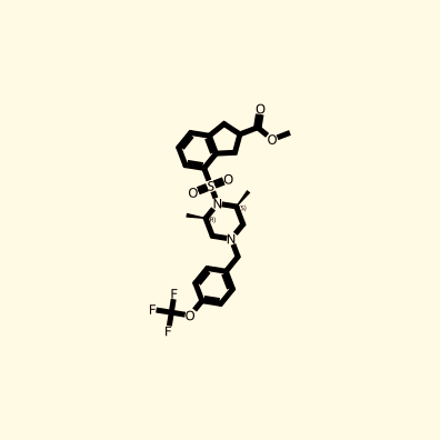 COC(=O)C1Cc2cccc(S(=O)(=O)N3[C@H](C)CN(Cc4ccc(OC(F)(F)F)cc4)C[C@@H]3C)c2C1